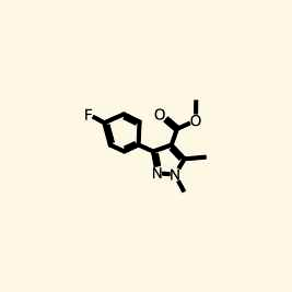 COC(=O)c1c(-c2ccc(F)cc2)nn(C)c1C